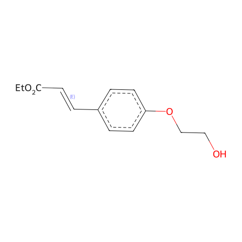 CCOC(=O)/C=C/c1ccc(OCCO)cc1